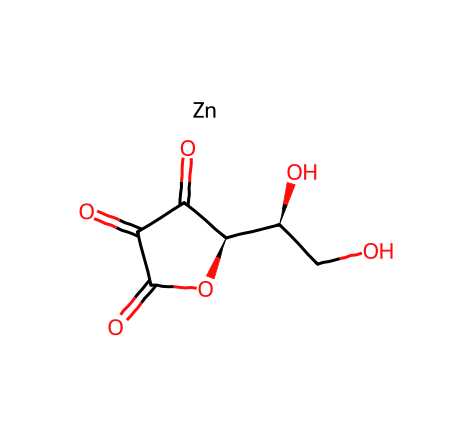 O=C1O[C@H]([C@@H](O)CO)C(=O)C1=O.[Zn]